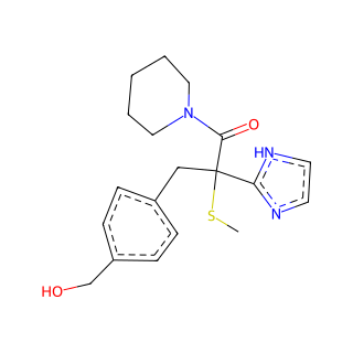 CSC(Cc1ccc(CO)cc1)(C(=O)N1CCCCC1)c1ncc[nH]1